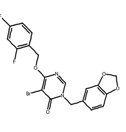 O=c1c(Br)c(OCc2ccc(F)cc2F)ncn1Cc1ccc2c(c1)OCO2